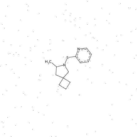 CC1CC2(CCC2)CN1Sc1ccccn1